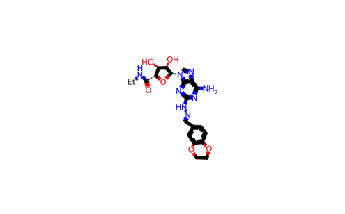 CCNC(=O)[C@H]1O[C@@H](n2cnc3c(N)nc(N/N=C/c4ccc5c(c4)OCCO5)nc32)[C@H](O)[C@@H]1O